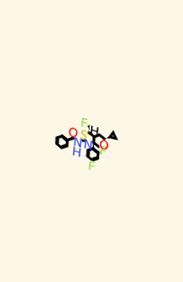 O=C(NC1=N[C@@]2(c3ccc(F)cc3F)CO[C@@H](C3CC3)C[C@H]2[C@@H](CF)S1)c1ccccc1